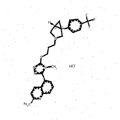 Cc1ccc2c(-c3nnc(SCCCN4C[C@@H]5C[C@]5(c5ccc(C(F)(F)F)cc5)C4)n3C)cccc2n1.Cl